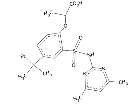 CCC(C)(C)c1ccc(OC(C)C(=O)O)c(S(=O)(=O)Nc2nc(C)cc(C)n2)c1